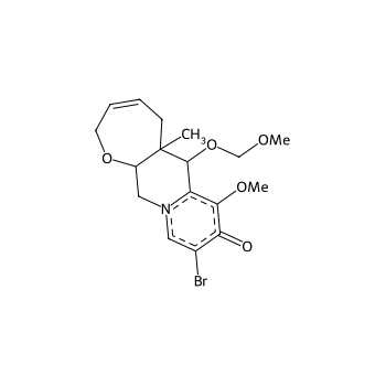 COCOC1c2c(OC)c(=O)c(Br)cn2CC2OCC=CCC21C